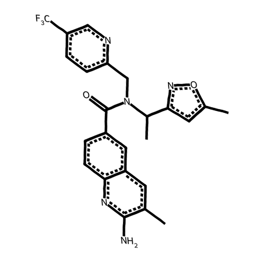 Cc1cc(C(C)N(Cc2ccc(C(F)(F)F)cn2)C(=O)c2ccc3nc(N)c(C)cc3c2)no1